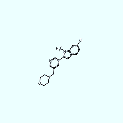 Cn1c(-c2cncc(CN3CCOCC3)c2)cc2ccc(Cl)cc21